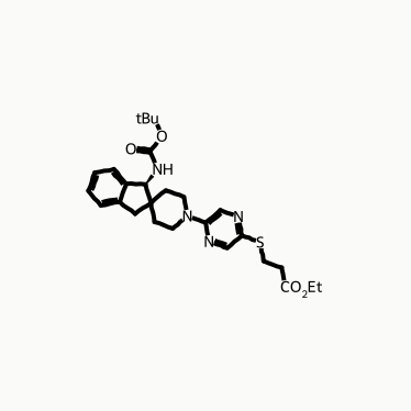 CCOC(=O)CCSc1cnc(N2CCC3(CC2)Cc2ccccc2[C@H]3NC(=O)OC(C)(C)C)cn1